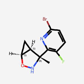 C[C@@]1(c2nc(Br)ccc2F)NO[C@H]2C[C@H]21